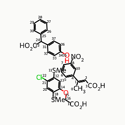 CC(=CC(=O)O)c1cccc([N+](=O)[O-])c1.CSc1cc(OCC(=O)O)c(SC)cc1Cl.O=C(O)C(c1ccccc1)c1ccc(O)cc1